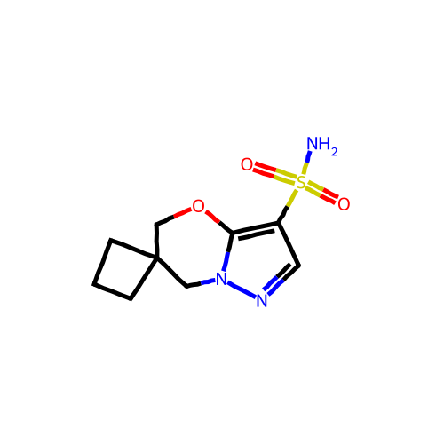 NS(=O)(=O)c1cnn2c1OCC1(CCC1)C2